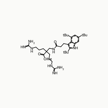 COC(=O)C(CCCNC(=N)N)(CCCNC(=N)N)CNC(=O)CCc1c(C(C)(C)C)[nH]c2cc(C(C)(C)C)cc(C(C)(C)C)c12